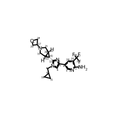 Nc1ncc(-c2cn(CC3CC3)c([C@@H]3[C@@H]4CN(C5COC5)C[C@@H]43)n2)cc1C(F)(F)F